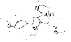 COCCOc1ccc(-c2ccc(OC)cc2)cc1C1=NCCN1.Cl